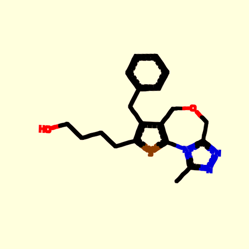 Cc1nnc2n1-c1sc(CCCCO)c(Cc3ccccc3)c1COC2